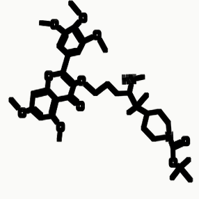 CNC(CCCOc1c(-c2cc(OC)c(OC)c(OC)c2)oc2cc(OC)cc(OC)c2c1=O)C(C)(C)C1CCN(C(=O)OC(C)(C)C)CC1